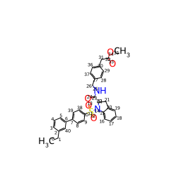 CCc1cccc(-c2ccc(S(=O)(=O)N3c4ccccc4C[C@H]3C(=O)NCc3ccc(CC(=O)OC)cc3)cc2)c1